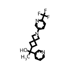 CC(O)(c1cccnc1)C1CC2(C1)CN(c1ccc(C(F)(F)F)nc1)C2